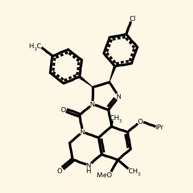 COC1(C)C=C(OC(C)C)C2(C)C3=N[C@H](c4ccc(Cl)cc4)[C@H](c4ccc(C)cc4)N3C(=O)N3CC(=O)NC1=C32